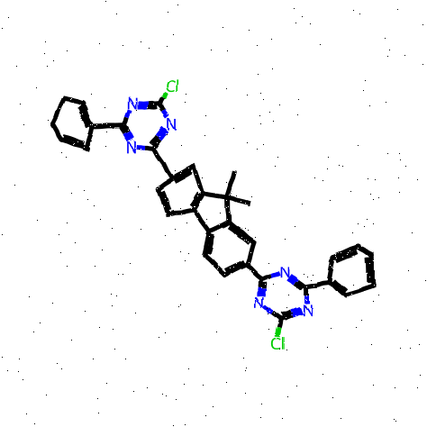 CC1(C)c2cc(-c3nc(Cl)nc(C4=CCCC=C4)n3)ccc2-c2ccc(-c3nc(Cl)nc(-c4ccccc4)n3)cc21